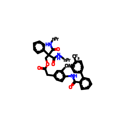 CCCNC(=O)C(COC(=O)Cc1ccc(NC(=O)c2ccccc2-c2ccc(C(F)(F)F)cc2)c(OC)c1)(C(=O)NCCC)c1ccccc1